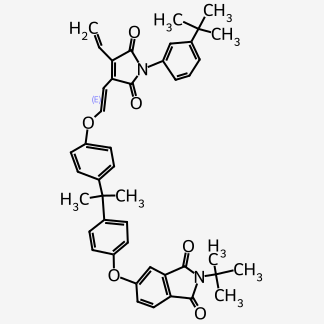 C=CC1=C(/C=C/Oc2ccc(C(C)(C)c3ccc(Oc4ccc5c(c4)C(=O)N(C(C)(C)C)C5=O)cc3)cc2)C(=O)N(c2cccc(C(C)(C)C)c2)C1=O